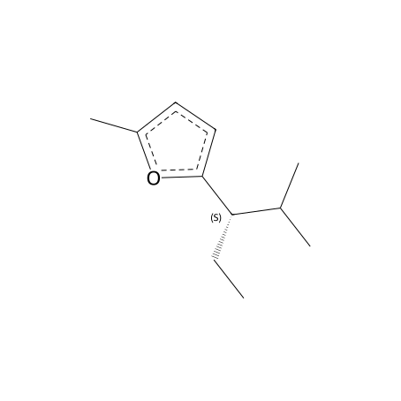 CC[C@H](c1ccc(C)o1)C(C)C